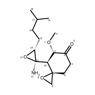 CO[C@@H]1C(=O)CC[C@]2(CO2)[C@H]1[C@@]1(N)O[C@@H]1CCC(C)C